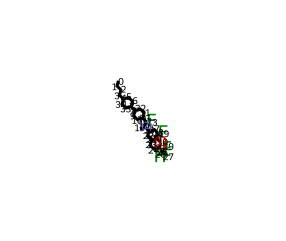 CCCCC1CCC(C2CCC(/C(F)=C(\C)c3cc(F)c4c(c3)CCC(C(F)(F)F)O4)CC2)CC1